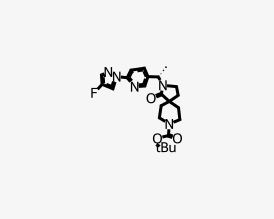 C[C@@H](c1ccc(-n2cc(F)cn2)nc1)N1CCC2(CCN(C(=O)OC(C)(C)C)CC2)C1=O